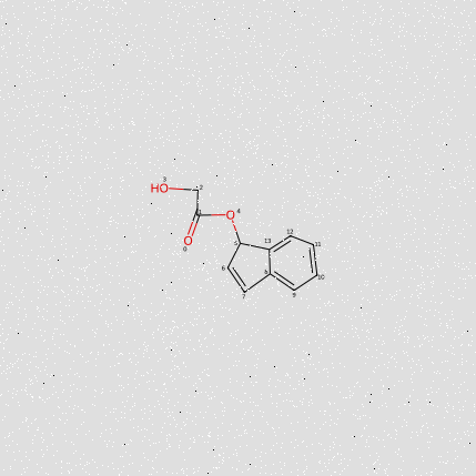 O=C(CO)OC1C=Cc2ccccc21